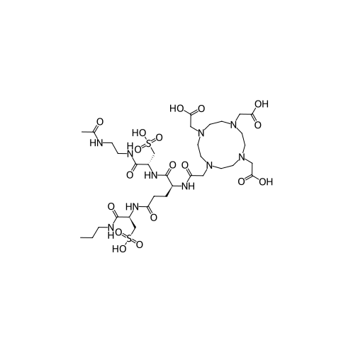 CCCNC(=O)[C@H](CS(=O)(=O)O)NC(=O)CC[C@H](NC(=O)CN1CCN(CC(=O)O)CCN(CC(=O)O)CCN(CC(=O)O)CC1)C(=O)N[C@@H](CS(=O)(=O)O)C(=O)NCCNC(C)=O